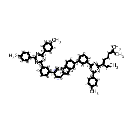 C=CC(=CCC=C(C)C)c1nc(-c2ccc(C)cc2)nc(-c2cccc(-c3ccc4oc(/C=C\C(=C/C)c5cccc(-c6nc(-c7ccc(C)cc7)nc(-c7ccc(C)cc7)n6)c5)cc4c3)c2)n1